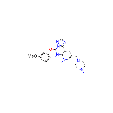 COc1ccc(CN2C(=O)n3ncnc3C3=CC(CN4CCN(C)CC4)=CN(C)C32)cc1